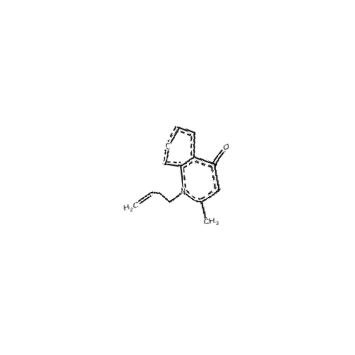 C=CCn1c(C)cc(=O)c2ccccc21